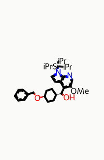 COc1cnc2c(ccn2[Si](C(C)C)(C(C)C)C(C)C)c1C(O)[C@H]1CC[C@H](OCc2ccccc2)CC1